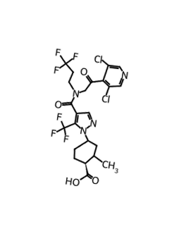 CC1CC(n2ncc(C(=O)N(CCC(F)(F)F)CC(=O)c3c(Cl)cncc3Cl)c2C(F)(F)F)CC[C@@H]1C(=O)O